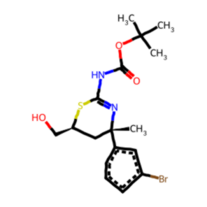 CC(C)(C)OC(=O)NC1=N[C@](C)(c2cccc(Br)c2)C[C@@H](CO)S1